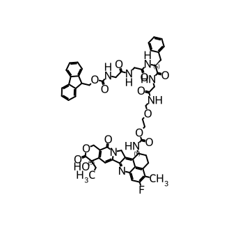 CC[C@@]1(O)C(=O)OCc2c1cc1n(c2=O)Cc2c-1nc1cc(F)c(C)c3c1c2[C@@H](NC(=O)OCCOCNC(=O)CNC(=O)[C@H](Cc1ccccc1)NC(=O)CNC(=O)CNC(=O)OCC1c2ccccc2-c2ccccc21)CC3